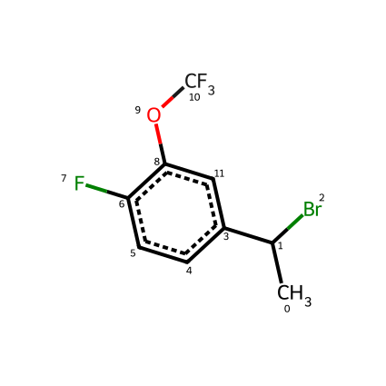 CC(Br)c1ccc(F)c(OC(F)(F)F)c1